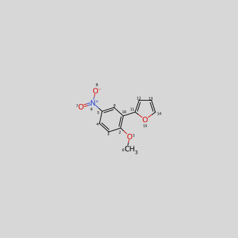 COc1ccc([N+](=O)[O-])cc1-c1ccco1